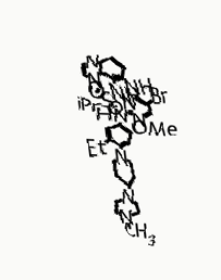 CCc1cc(Nc2ncc(Br)c(Nc3ccc4nccnc4c3NS(=O)(=O)C(C)C)n2)c(OC)cc1N1CCC(N2CCN(C)CC2)CC1